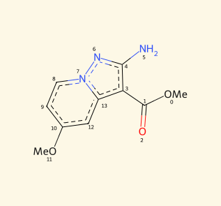 COC(=O)c1c(N)nn2ccc(OC)cc12